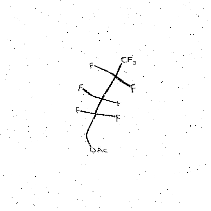 CC(=O)O[CH]C(F)(F)C(F)(F)C(F)(F)C(F)(F)F